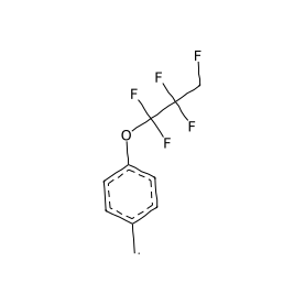 [CH2]c1ccc(OC(F)(F)C(F)(F)CF)cc1